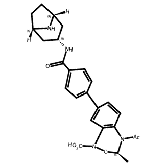 CC(=O)N1c2ccc(-c3ccc(C(=O)N[C@H]4C[C@H]5CC[C@@H](C4)N5)cc3)cc2N(C(=O)O)C[C@@H]1C